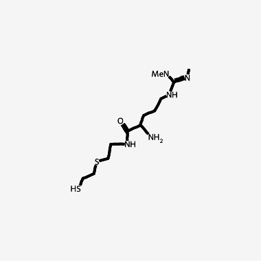 C/N=C(\NC)NCCCC(N)C(=O)NCCSCCS